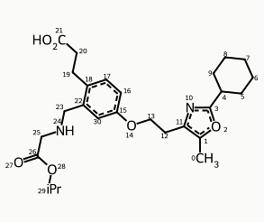 Cc1oc(C2CCCCC2)nc1CCOc1ccc(CCC(=O)O)c(CNCC(=O)OC(C)C)c1